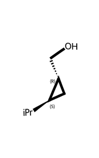 CC(C)[C@@H]1C[C@H]1CO